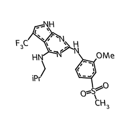 COc1cc(S(C)(=O)=O)ccc1Nc1nc(NCC(C)C)c2c(C(F)(F)F)c[nH]c2n1